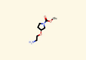 CC(C)(C)OC(=O)N1CC[C@H](OCCN)C1